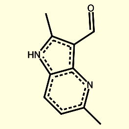 Cc1ccc2[nH]c(C)c(C=O)c2n1